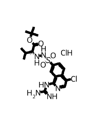 CC(C)[C@@H](NNS(=O)(=O)c1ccc2c(Cl)cnc(NC(=N)N)c2c1)C(=O)OC(C)(C)C.Cl